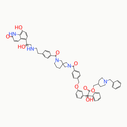 O=C(c1ccc(CCNC[C@H](O)c2ccc(O)c3[nH]c(=O)ccc23)cc1)N1CCCC2(C1)CN(C(=O)c1ccc(COc3cccc([C@](O)(C(=O)OCC4CCN(Cc5ccccc5)CC4)c4ccccc4)c3)cc1)C2